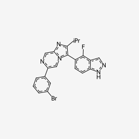 CC(C)c1nc2cnc(-c3cccc(Br)c3)cn2c1-c1ccc2[nH]ncc2c1F